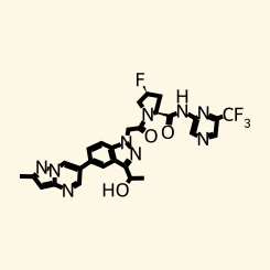 Cc1cc2ncc(-c3ccc4c(c3)c(C(C)O)nn4CC(=O)N3C[C@H](F)C[C@H]3C(=O)Nc3cncc(C(F)(F)F)n3)cn2n1